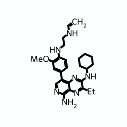 C=CNCCNc1ccc(-c2cnc(N)c3nc(CC)c(NC4CCCCC4)nc23)cc1OC